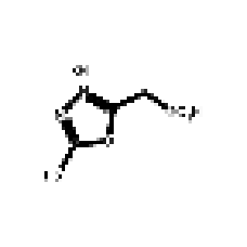 O=S(=O)(O)Cc1nnc(S)o1.[KH]